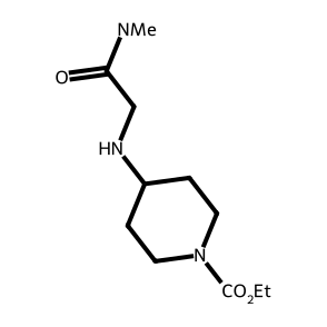 [CH2]NC(=O)CNC1CCN(C(=O)OCC)CC1